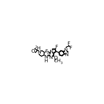 [2H]C1(N2CC[C@H](Nc3nc(OC)c4c(-c5ccc6ncn(CC(F)F)c6c5)c(F)cn4n3)[C@H](F)C2)COC1